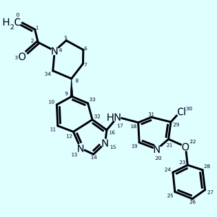 C=CC(=O)N1CCC[C@@H](c2ccc3ncnc(Nc4cnc(Oc5ccccc5)c(Cl)c4)c3c2)C1